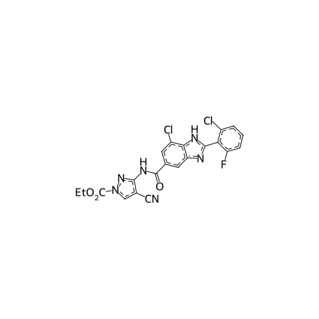 CCOC(=O)n1cc(C#N)c(NC(=O)c2cc(Cl)c3[nH]c(-c4c(F)cccc4Cl)nc3c2)n1